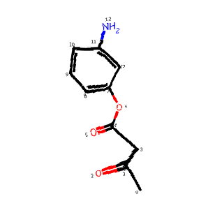 CC(=O)CC(=O)Oc1cccc(N)c1